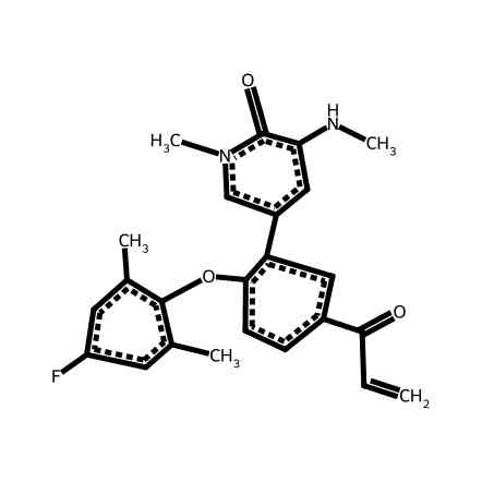 C=CC(=O)c1ccc(Oc2c(C)cc(F)cc2C)c(-c2cc(NC)c(=O)n(C)c2)c1